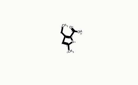 CCc1cc(C)sc1C(=O)O